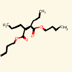 CCCCOC(=O)/C(CCC)=C(/CCC)C(=O)OCCCC